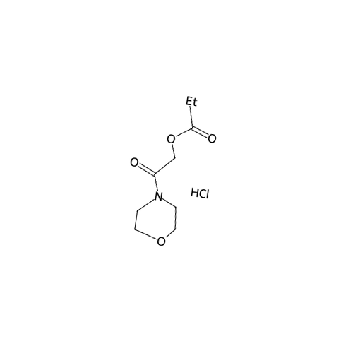 CCC(=O)OCC(=O)N1CCOCC1.Cl